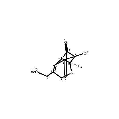 CC(=O)OCC1=C2C(=O)OC3(Cl)C(=O)N2[C@@H]3SC1